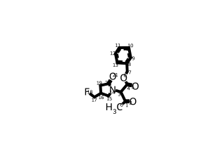 CC(=O)C(C(=O)OCc1ccccc1)N1CC(CF)CC1=O